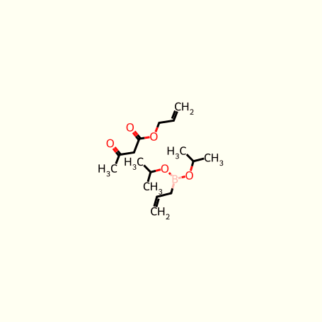 C=CCB(OC(C)C)OC(C)C.C=CCOC(=O)CC(C)=O